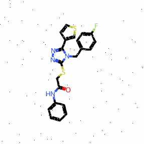 O=C(CSc1nnc(-c2ccsc2)n1Cc1ccc(F)cc1)Nc1ccccc1